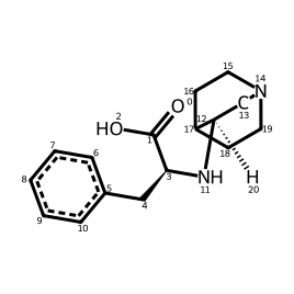 O=C(O)[C@H](Cc1ccccc1)N[C@@H]1CN2CCC1CC2